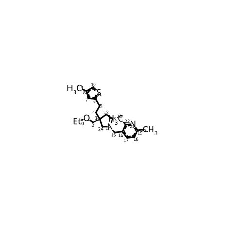 CCOC[C@@]1(CCc2cc(C)cs2)CCN(Cc2ccc(C)nc2C)C1